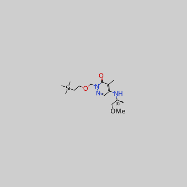 COC[C@H](C)Nc1cnn(COCC[Si](C)(C)C)c(=O)c1C